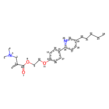 C=C(CN(C)C)C(=O)OCCOc1ccc(-c2ccc(CCCCC)cn2)cc1